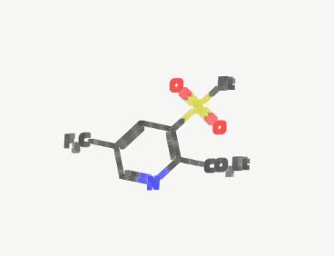 CCOC(=O)c1ncc(C(F)(F)F)cc1S(=O)(=O)CC